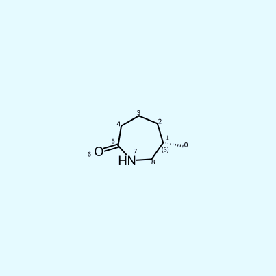 C[C@H]1CCCC(=O)NC1